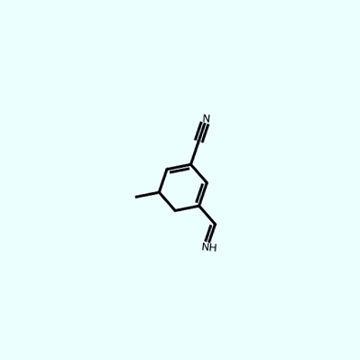 CC1C=C(C#N)C=C(C=N)C1